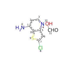 Nc1ccnc2cc(Cl)sc12.O=CO